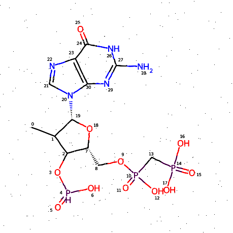 CC1C(O[PH](=O)O)[C@@H](COP(=O)(O)CP(=O)(O)O)O[C@H]1n1cnc2c(=O)[nH]c(N)nc21